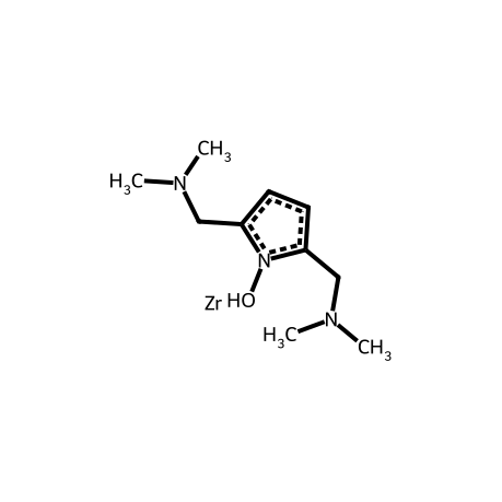 CN(C)Cc1ccc(CN(C)C)n1O.[Zr]